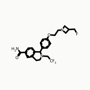 NC(=O)c1ccc2c(c1)CCN(CC(F)(F)F)C2c1ccc(OCCN2CC(CF)C2)cc1